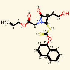 C=CCOC(=O)CN1C(=O)C(CCO)C1SC(=S)Oc1cccc2ccccc12